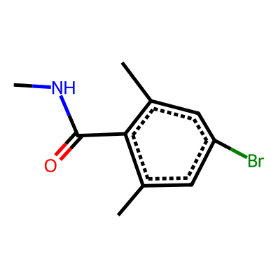 CNC(=O)c1c(C)cc(Br)cc1C